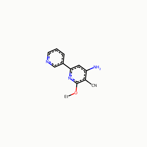 CCOc1nc(-c2cccnc2)cc(N)c1C#N